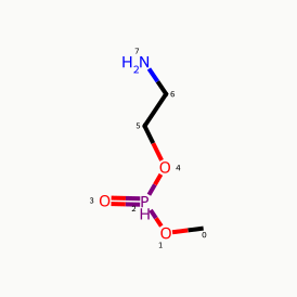 CO[PH](=O)OCCN